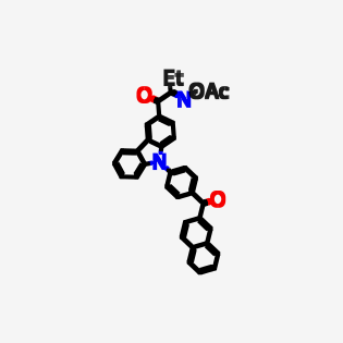 CCC(=NOC(C)=O)C(=O)c1ccc2c(c1)c1ccccc1n2-c1ccc(C(=O)c2ccc3ccccc3c2)cc1